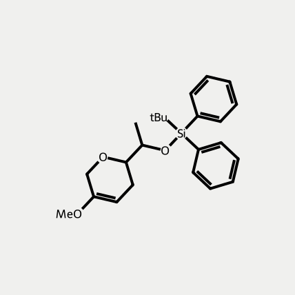 COC1=CCC(C(C)O[Si](c2ccccc2)(c2ccccc2)C(C)(C)C)OC1